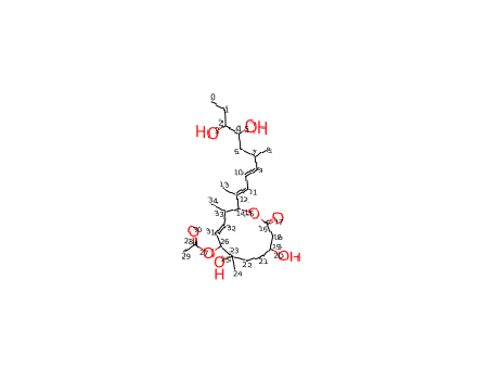 CCC(O)C(O)CC(C)/C=C/C=C(\C)C1OC(=O)CC(O)CCC(C)(O)C(OC(C)=O)/C=C/C1C